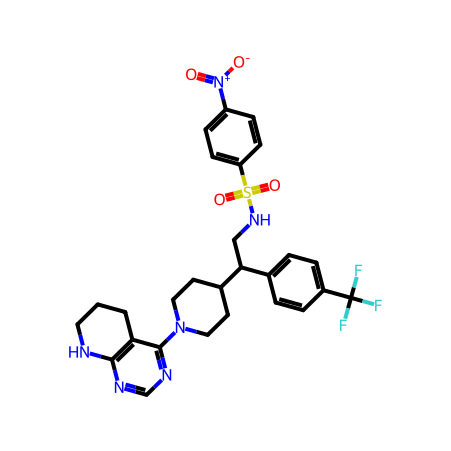 O=[N+]([O-])c1ccc(S(=O)(=O)NCC(c2ccc(C(F)(F)F)cc2)C2CCN(c3ncnc4c3CCCN4)CC2)cc1